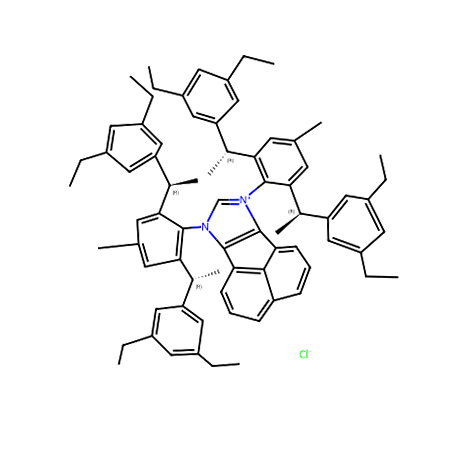 CCc1cc(CC)cc([C@@H](C)c2cc(C)cc([C@H](C)c3cc(CC)cc(CC)c3)c2-n2c[n+](-c3c([C@H](C)c4cc(CC)cc(CC)c4)cc(C)cc3[C@H](C)c3cc(CC)cc(CC)c3)c3c2-c2cccc4cccc-3c24)c1.[Cl-]